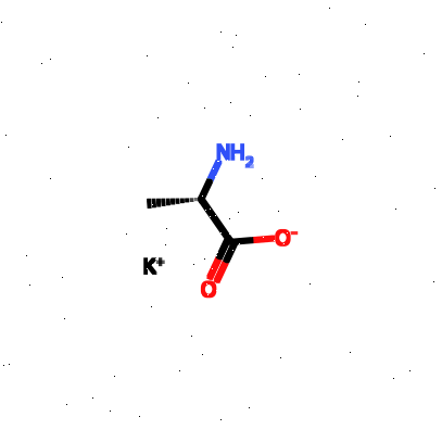 C[C@H](N)C(=O)[O-].[K+]